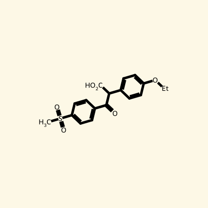 CCOc1ccc(C(C(=O)O)C(=O)c2ccc(S(C)(=O)=O)cc2)cc1